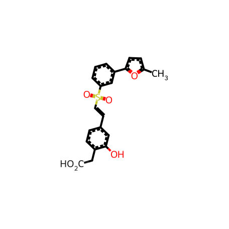 Cc1ccc(-c2cccc(S(=O)(=O)/C=C/c3ccc(CC(=O)O)c(O)c3)c2)o1